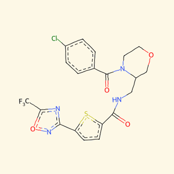 O=C(NCC1COCCN1C(=O)c1ccc(Cl)cc1)c1ccc(-c2noc(C(F)(F)F)n2)s1